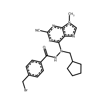 Cn1cnc2c(N(CC3CCCC3)NC(=O)c3ccc(CBr)cc3)nc(C#N)nc21